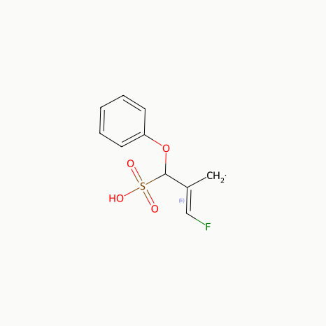 [CH2]/C(=C\F)C(Oc1ccccc1)S(=O)(=O)O